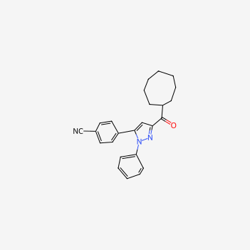 N#Cc1ccc(-c2cc(C(=O)C3CCCCCCC3)nn2-c2ccccc2)cc1